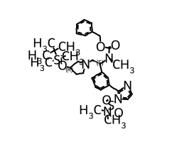 CN(C(=O)OCc1ccccc1)[C@H](CN1CC[C@@H](O[Si](C)(C)C(C)(C)C)C1)c1cccc(-c2nccn2S(=O)(=O)N(C)C)c1